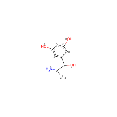 CC(N)C(O)c1cc(O)cc(O)c1